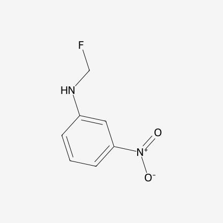 O=[N+]([O-])c1cccc(NCF)c1